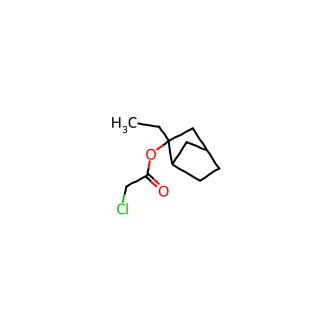 CCC1(OC(=O)CCl)CC2CCC1C2